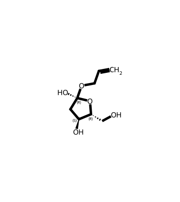 C=CCO[C@]1(O)C[C@H](O)[C@@H](CO)O1